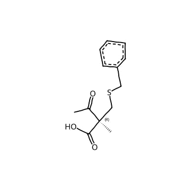 CC(=O)[C@@](C)(CSCc1ccccc1)C(=O)O